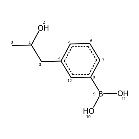 CC(O)Cc1cccc(B(O)O)c1